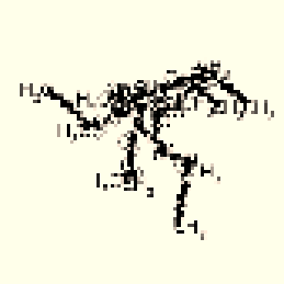 CCCCCCCCSCC(C)C(=O)OCCOC(=O)CCN(CCNCCN(CCC(=O)OCCOC(=O)C(C)CSCCCCCCCC)CCN(CCC(=O)OCCOC(=O)C(C)CC)CCN(CCC(=O)OCCOC(=O)C(C)CSCCCCCCCC)CCC(=O)OCCOC(=O)C(C)CSCCCCCCCC)CCC(=O)OCCOC(=O)C(C)CC